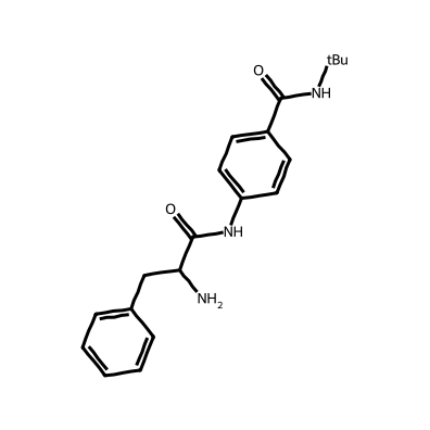 CC(C)(C)NC(=O)c1ccc(NC(=O)C(N)Cc2ccccc2)cc1